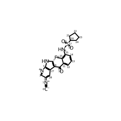 [C-]#[N+]c1cnc2[nH]cc(C(=O)c3cccc(NS(=O)(=O)C4CCCC4)c3F)c2c1